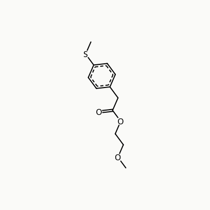 COCCOC(=O)Cc1ccc(SC)cc1